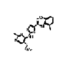 CSSc1cnc(C)nc1Nc1ncc(C(=O)Nc2c(C)cccc2Cl)s1